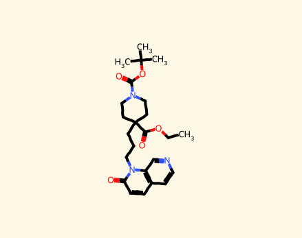 CCOC(=O)C1(CCCn2c(=O)ccc3ccncc32)CCN(C(=O)OC(C)(C)C)CC1